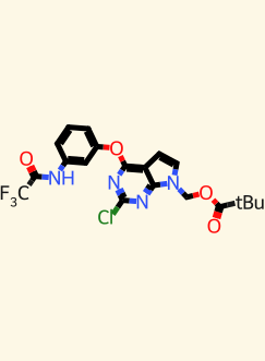 CC(C)(C)C(=O)OCn1ccc2c(Oc3cccc(NC(=O)C(F)(F)F)c3)nc(Cl)nc21